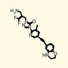 Cc1cc(C#Cc2ccc3c(c2)NCCO3)cnc1-n1cnn(CC(CN)=C(F)F)c1=O